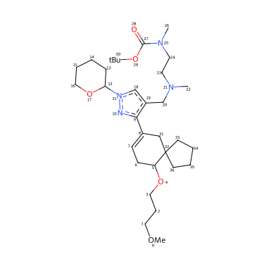 COCCCOC1CC=C(c2nn(C3CCCCO3)cc2CN(C)CCN(C)C(=O)OC(C)(C)C)CC12CCCC2